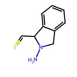 NN1Cc2ccccc2C1C=S